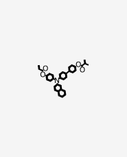 C=CC(=O)Oc1ccc(N(c2ccc(-c3ccc(OC(=O)C(=C)C)cc3)cc2)c2ccc3ccccc3c2)cc1